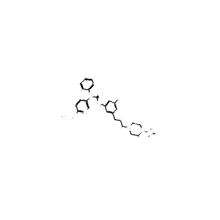 CCS(=O)(=O)N1CCN(CCCc2cc(F)cc(NC(=O)N(c3ccccc3)c3ccc(OC)nc3)c2)CC1